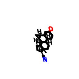 C[C@]12CC[C@H]3[C@@H]([C@H]4C[C@H]4C4=CC(=O)CC[C@@H]43)[C@@H]1CC[C@@H]2C#N